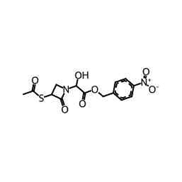 CC(=O)SC1CN(C(O)C(=O)OCc2ccc([N+](=O)[O-])cc2)C1=O